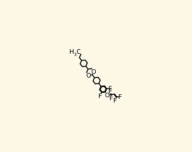 CCCC1CCC(C2COC(C3CCC(c4cc(F)c(OC(F)(F)C=C(F)F)c(F)c4)CC3)OC2)CC1